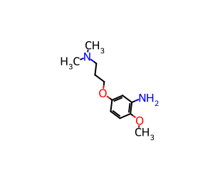 COc1ccc(OCCCN(C)C)cc1N